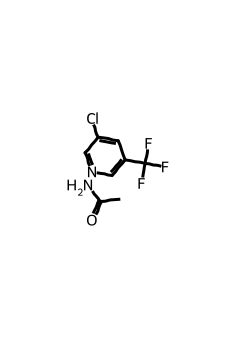 CC(N)=O.FC(F)(F)c1cncc(Cl)c1